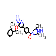 C=C1CN(C(=O)c2ccc(-c3cnc(N)c(OC(C)c4ccccc4C)c3)cc2)CC(=C)N1